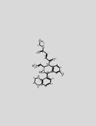 C=CCN(C(=O)/C=C/C(=O)OCC)c1ccc(Cl)cc1C(O)c1cccc2c1OCCO2